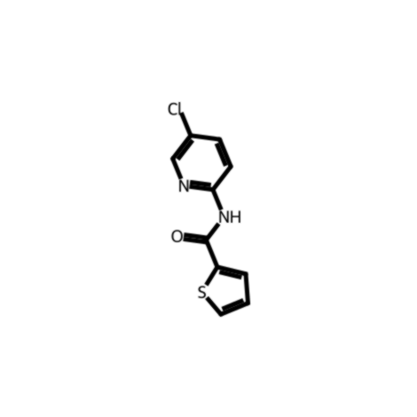 O=C(Nc1ccc(Cl)cn1)c1cccs1